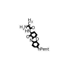 CCCCCc1ccc2nc3c(=O)c(NC(=O)[C@H](C)N)ccc-3oc2c1